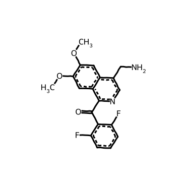 COc1cc2c(CN)cnc(C(=O)c3c(F)cccc3F)c2cc1OC